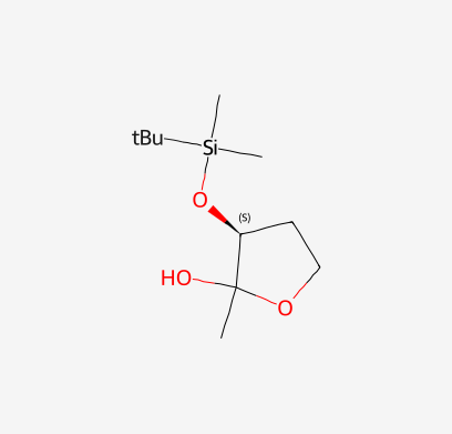 CC1(O)OCC[C@@H]1O[Si](C)(C)C(C)(C)C